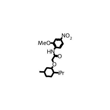 COc1cc([N+](=O)[O-])ccc1NC(=O)COC1CC(C)CCC1C(C)C